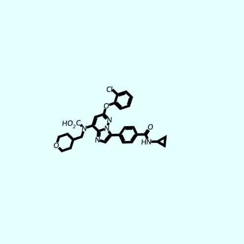 O=C(NC1CC1)c1ccc(-c2cnc3c(N(CC4CCOCC4)C(=O)O)cc(Oc4ccccc4Cl)nn23)cc1